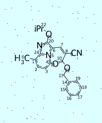 Cc1cccn2c(/C=C(/C#N)C(=O)OCc3ccccc3)c(OC(C)C)nc12